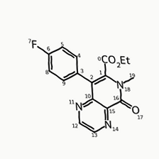 CCOC(=O)c1c(-c2ccc(F)cc2)c2nccnc2c(=O)n1C